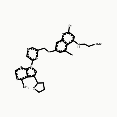 CCc1cc(NCCOC)c2c(F)cc(OCc3cncc(-n4cc(C5CCCO5)c5c(N)ncnc54)n3)cc2n1